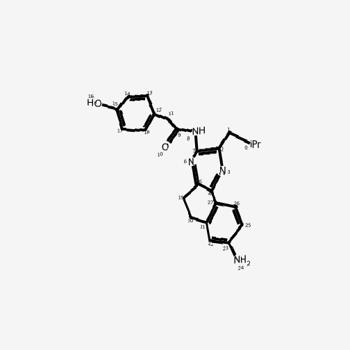 CC(C)Cc1nc2c(nc1NC(=O)Cc1ccc(O)cc1)CCc1cc(N)ccc1-2